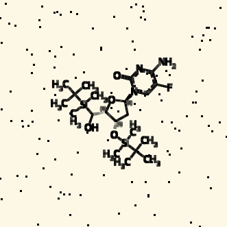 CC(C)(C)[Si](C)(C)O[C@H]1C[C@H](n2cc(F)c(N)nc2=O)O[C@H]1C(O)[Si](C)(C)C(C)(C)C